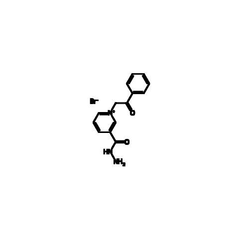 NNC(=O)c1ccc[n+](CC(=O)c2ccccc2)c1.[Br-]